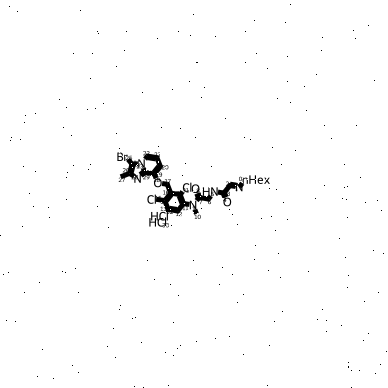 CCCCCCN=CC(=O)NCC(=O)N(C)c1ccc(Cl)c(COc2cccn3c(Br)c(C)nc23)c1Cl.Cl.Cl